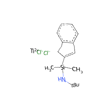 CC(C)(C)N[Si](C)(C)C1=Cc2ccccc2C1.[Cl-].[Cl-].[Ti+2]